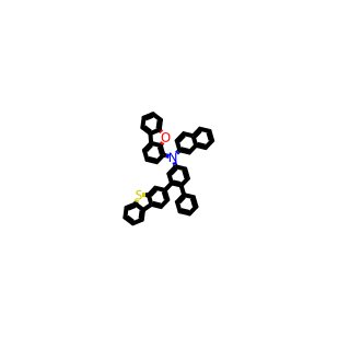 c1ccc(-c2ccc(N(c3ccc4ccccc4c3)c3cccc4c3oc3ccccc34)cc2-c2ccc3c(c2)sc2ccccc23)cc1